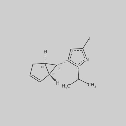 CC(C)n1nc(I)cc1[C@@H]1[C@@H]2C=CC[C@H]21